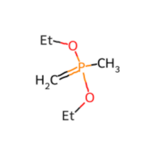 C=P(C)(OCC)OCC